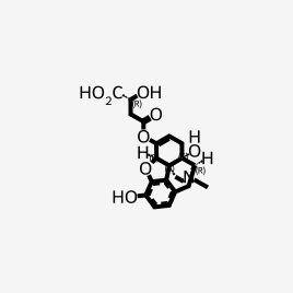 CN1CC[C@]23c4c5ccc(O)c4O[C@H]2C(OC(=O)C[C@@H](O)C(=O)O)=CC[C@@]3(O)[C@H]1C5